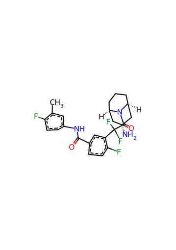 Cc1cc(NC(=O)c2ccc(F)c(C(F)(F)C(=O)N3[C@@H]4CCC[C@H]3C[C@H](N)C4)c2)ccc1F